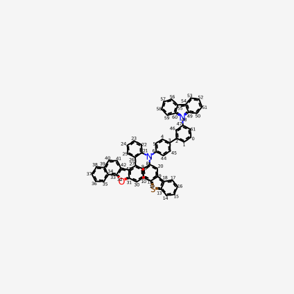 c1cc(-c2ccc(N(c3ccc4sc5ccccc5c4c3)c3ccccc3-c3cccc4oc5c6ccccc6ccc5c34)cc2)cc(-n2c3ccccc3c3ccccc32)c1